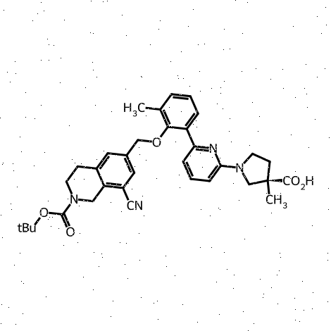 Cc1cccc(-c2cccc(N3CC[C@@](C)(C(=O)O)C3)n2)c1OCc1cc(C#N)c2c(c1)CCN(C(=O)OC(C)(C)C)C2